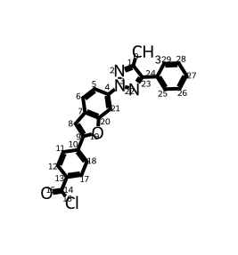 Cc1nn(-c2ccc3cc(-c4ccc(C(=O)Cl)cc4)oc3c2)nc1-c1ccccc1